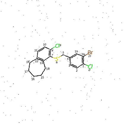 Clc1ccc(CSc2c(Cl)ccc3c2CCCCC3)cc1Br